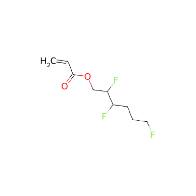 C=CC(=O)OCC(F)C(F)CCCF